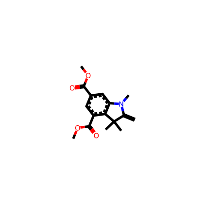 C=C1N(C)c2cc(C(=O)OC)cc(C(=O)OC)c2C1(C)C